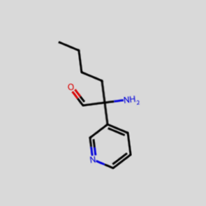 CCCCC(N)(C=O)c1cccnc1